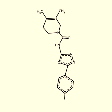 CC1=C(C)CN(C(=O)Nc2nnc(-c3ccc(F)cc3)o2)CC1